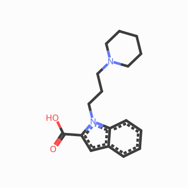 O=C(O)c1cc2ccccc2n1CCCN1CCCCC1